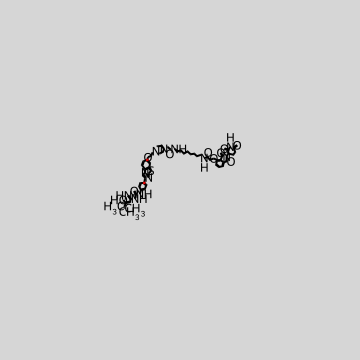 CC(C)(C)/C(O)=C/C(=N)NC(=O)Nc1ccc(-c2cn3c(n2)sc2cc(OCCN4CCN(CC(=O)NCCCCCCCCNC(=O)COc5cccc6c5C(=O)N(C5CCC(=O)NC5=O)C6=O)CC4)ccc23)cc1